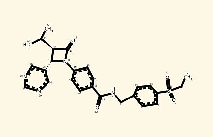 CCS(=O)(=O)c1ccc(CNC(=O)c2ccc(N3C(=O)[C@H](C(C)C)[C@H]3c3cncnc3)cc2)cc1